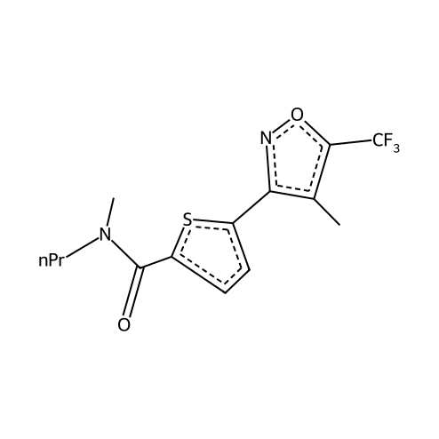 CCCN(C)C(=O)c1ccc(-c2noc(C(F)(F)F)c2C)s1